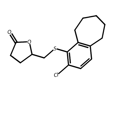 O=C1CCC(CSc2c(Cl)ccc3c2CCCCC3)O1